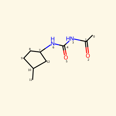 CC(=O)NC(=O)NC1CCC(C)C1